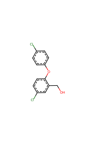 OCc1cc(Cl)ccc1Oc1ccc(Cl)cc1